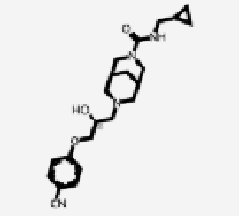 N#Cc1ccc(OC[C@@H](O)CN2CC3CC(C2)CN(C(=O)NCC2CC2)C3)cc1